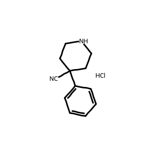 Cl.N#CC1(c2ccccc2)CCNCC1